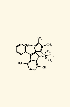 CC1=C(C)C(C)[C]([Zr]([CH3])([CH3])(=[SiH2])[CH]2C=C(c3ccccc3)c3c(C)ccc(C)c32)=C1C